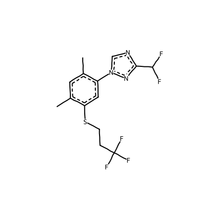 Cc1cc(C)c(-n2cnc(C(F)F)n2)cc1SCCC(F)(F)F